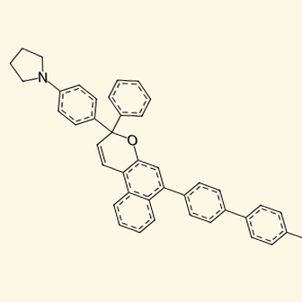 Cc1ccc(-c2ccc(-c3cc4c(c5ccccc35)C=CC(c3ccccc3)(c3ccc(N5CCCC5)cc3)O4)cc2)cc1